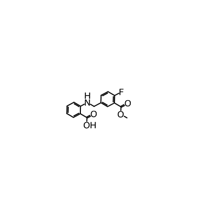 COC(=O)c1cc(CNc2ccccc2C(=O)O)ccc1F